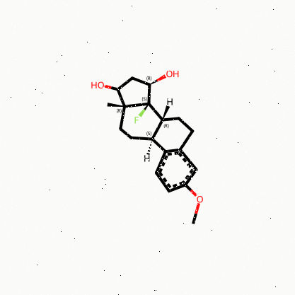 COc1ccc2c(c1)CC[C@@H]1[C@@H]2CC[C@]2(C)C(O)C[C@@H](O)[C@]12F